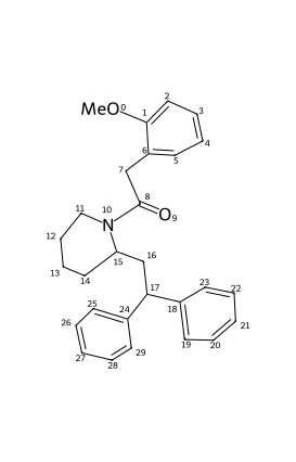 COc1ccccc1CC(=O)N1CCCCC1CC(c1ccccc1)c1ccccc1